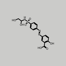 O=C(O)c1cc(N=Nc2ccc(S(=O)(=O)NC(O)CO)cc2)ccc1O